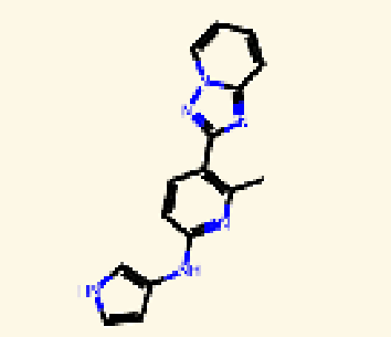 Cc1nc(Nc2cc[nH]c2)ccc1-c1nc2ccccn2n1